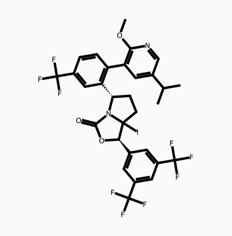 COc1ncc(C(C)C)cc1-c1ccc(C(F)(F)F)cc1[C@@H]1CCC2(I)[C@@H](c3cc(C(F)(F)F)cc(C(F)(F)F)c3)OC(=O)N12